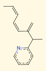 C=C(/C=C\C=C/C)C(C)c1ccccn1